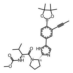 CC#Cc1cc(-c2cnc([C@@H]3CCCN3C(=O)[C@@H](NC(=O)OC)C(C)C)[nH]2)ccc1B1OC(C)(C)C(C)(C)O1